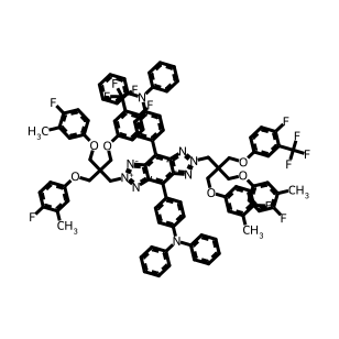 Cc1cc(OCC(COc2ccc(F)c(C)c2)(COc2ccc(F)c(C(F)(F)F)c2)Cn2nc3c(-c4ccc(N(c5ccccc5)c5ccccc5)cc4)c4n[n+](CC(COc5ccc(F)c(C)c5)(COc5ccc(F)c(C)c5)COc5ccc(F)c(C(F)(F)F)c5)[n-]c4c(-c4ccc(N(c5ccccc5)c5ccccc5)cc4)c3n2)ccc1F